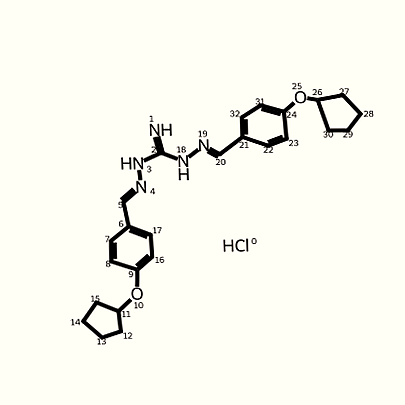 Cl.N=C(NN=Cc1ccc(OC2CCCC2)cc1)NN=Cc1ccc(OC2CCCC2)cc1